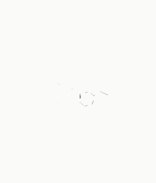 CCN1CCCC[C@H]1[C@H](C)Oc1ccc2c(c1)COC2=O